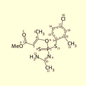 COC(=O)C=C(C)OP(=S)(N=C(C)N)Sc1ccc(Cl)cc1C